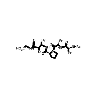 CCCC(NC(=O)[C@@H]1CCCN1C(=O)[C@@H](NC(=O)[C@@H](NC(C)=O)C(C)C)C(C)C)C(=O)C(=O)NCC(=O)O